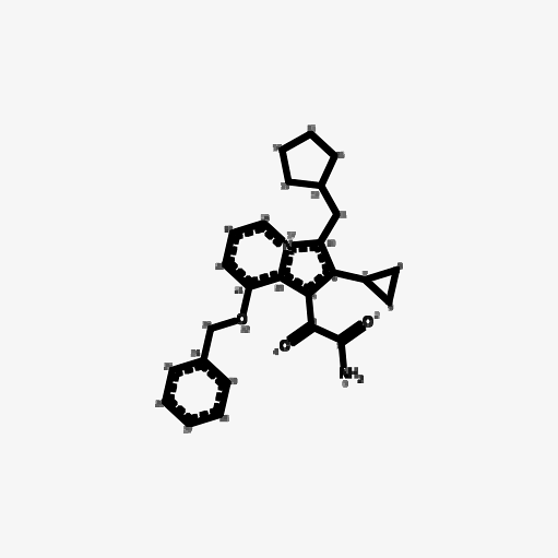 NC(=O)C(=O)c1c(C2CC2)c(CC2CCCC2)n2cccc(OCc3ccccc3)c12